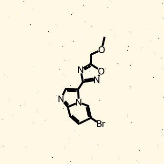 COCc1nc(-c2cnc3ccc(Br)cn23)no1